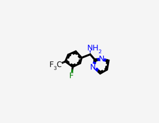 N[C@@H](c1ccc(C(F)(F)F)c(F)c1)c1ncccn1